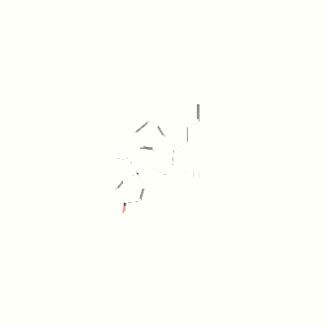 C=CCCCC(C=O)COC1(N(C)c2ccccc2)C=CC(=O)C=C1